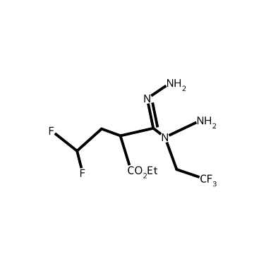 CCOC(=O)C(CC(F)F)/C(=N/N)N(N)CC(F)(F)F